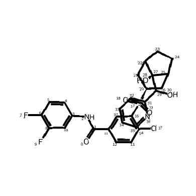 O=C(Nc1ccc(F)c(F)c1)c1ccc(Cl)c(S(=O)(=O)[C@H]2CC3CCC(C2)[C@]3(O)C(O)c2ccccn2)c1